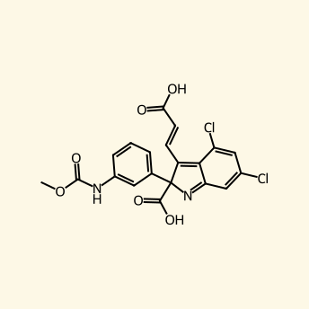 COC(=O)Nc1cccc(C2(C(=O)O)N=c3cc(Cl)cc(Cl)c3=C2C=CC(=O)O)c1